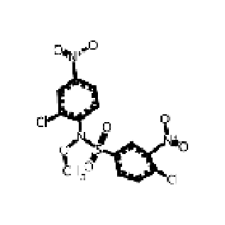 CON(c1ccc([N+](=O)[O-])cc1Cl)S(=O)(=O)c1ccc(Cl)c([N+](=O)[O-])c1